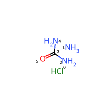 Cl.N.NC(N)=O